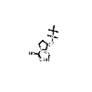 CC(C)(C)[Si](C)(C)O[C@H]1CCN(C(=O)O)[C@H]1CO